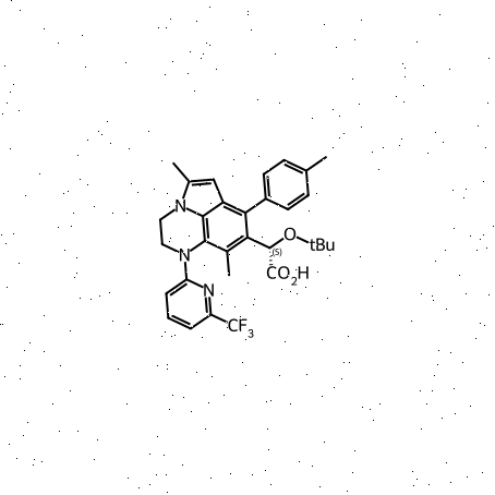 Cc1ccc(-c2c([C@H](OC(C)(C)C)C(=O)O)c(C)c3c4c2cc(C)n4CCN3c2cccc(C(F)(F)F)n2)cc1